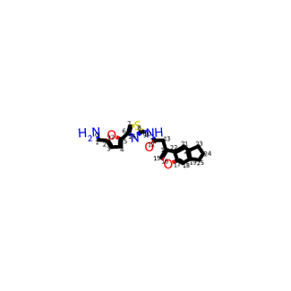 NCc1ccc(-c2csc(NC(=O)Cc3coc4cc5c(cc34)CCC5)n2)o1